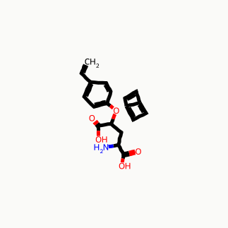 C=Cc1ccc(OC(CC(N)C(=O)O)C(=O)O)cc1.c1cc2ccc1-2